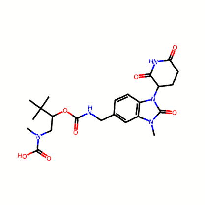 CN(CC(OC(=O)NCc1ccc2c(c1)n(C)c(=O)n2C1CCC(=O)NC1=O)C(C)(C)C)C(=O)O